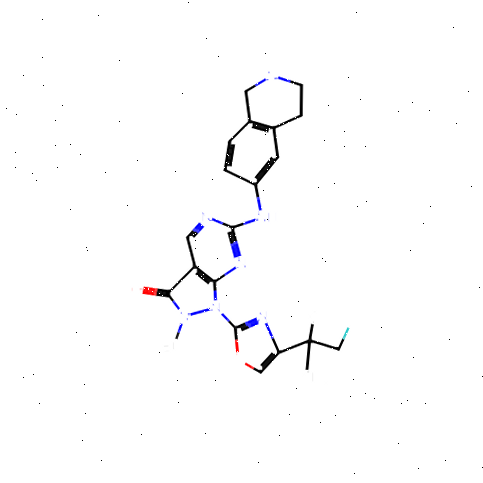 CCn1c(=O)c2cnc(Nc3ccc4c(c3)CCNC4)nc2n1-c1nc(C(C)(C)CF)co1